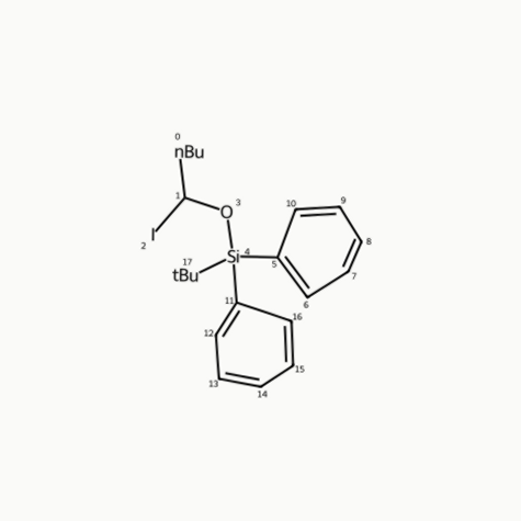 CCCCC(I)O[Si](c1ccccc1)(c1ccccc1)C(C)(C)C